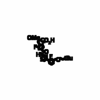 COC(=Cc1c(F)cc(C(=O)Nc2nc(-c3cccc(COCCC(C)(C)C)c3F)cs2)cc1F)C(=O)O